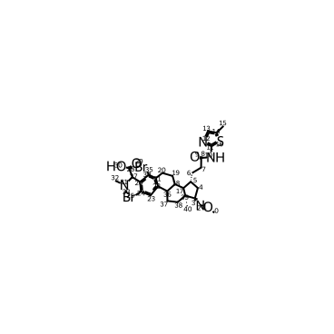 CON=C1C[C@@H](CCC(=O)Nc2ncc(C)s2)C2C3CCc4c(cc(Br)c(C(C(=O)O)N(C)C)c4Br)C3CC[C@]12C